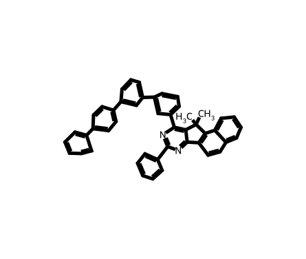 CC1(C)c2c(-c3cccc(-c4cccc(-c5ccc(-c6ccccc6)cc5)c4)c3)nc(-c3ccccc3)nc2-c2ccc3ccccc3c21